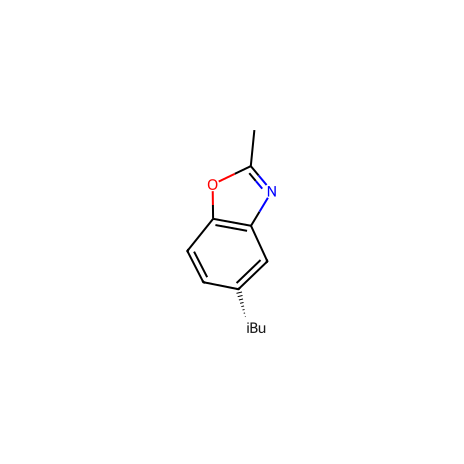 CC[C@@H](C)c1ccc2oc(C)nc2c1